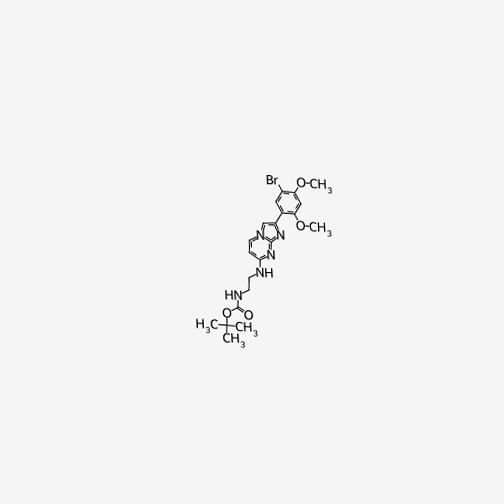 COc1cc(OC)c(-c2cn3ccc(NCCNC(=O)OC(C)(C)C)nc3n2)cc1Br